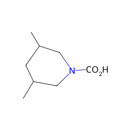 CC1CC(C)CN(C(=O)O)C1